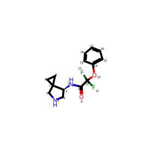 O=C(N[C@H]1CNCC12CC2)C(F)(F)Oc1ccccc1